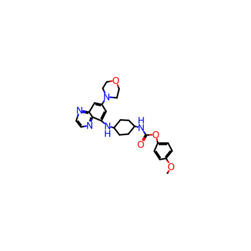 COc1ccc(OC(=O)NC2CCC(Nc3cc(N4CCOCC4)cc4nccnc34)CC2)cc1